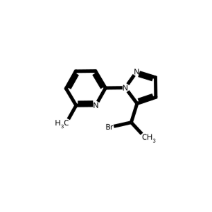 Cc1cccc(-n2nccc2C(C)Br)n1